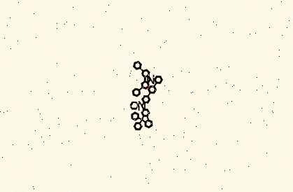 C1=CCC(N(c2ccc(-c3ccc(-c4ccccc4-n4c5ccc(-c6ccccc6)cc5c5cc(-c6ccccc6)ccc54)cc3)cc2)c2ccc3c(c2)C(c2ccccc2)(c2ccccc2)c2ccccc2-3)C=C1